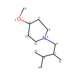 COC1CCN(CC(C)C(C)C)CC1